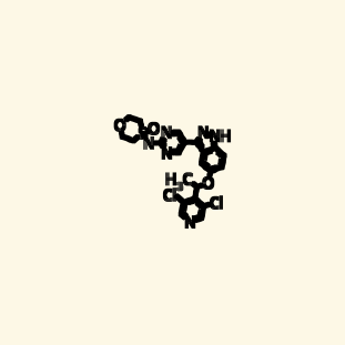 CC(Oc1ccc2[nH]nc(-c3cnc(N=S4(=O)CCOCC4)nc3)c2c1)c1c(Cl)cncc1Cl